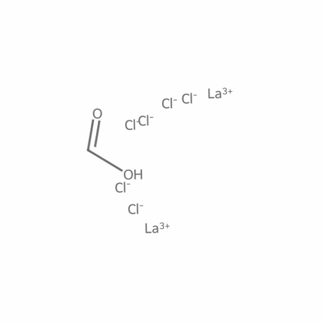 O=CO.[Cl-].[Cl-].[Cl-].[Cl-].[Cl-].[Cl-].[La+3].[La+3]